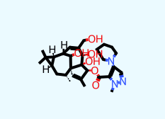 CC1=C[C@]23C(O)[C@@H](C=C(CO)[C@@H](O)[C@]2(O)[C@H]1OC(=O)c1c(N2CCCCC2)cnn1C)[C@H]1[C@@H](C[C@H]3C)C1(C)C